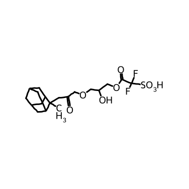 CC1(CC(=O)COCC(O)COC(=O)C(F)(F)S(=O)(=O)O)C2CC3CC(C2)CC1C3